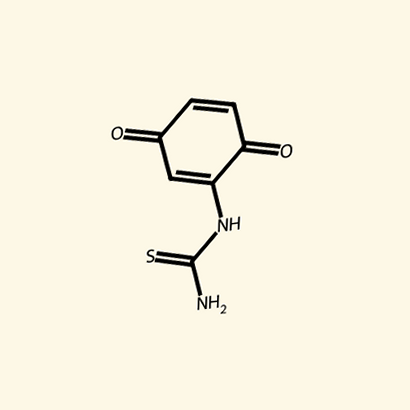 NC(=S)NC1=CC(=O)C=CC1=O